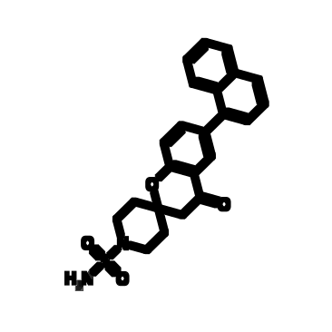 NS(=O)(=O)N1CCC2(CC1)CC(=O)c1cc(-c3cccc4ccccc34)ccc1O2